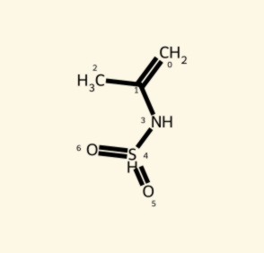 C=C(C)N[SH](=O)=O